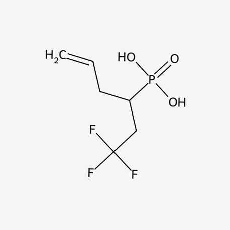 C=CCC(CC(F)(F)F)P(=O)(O)O